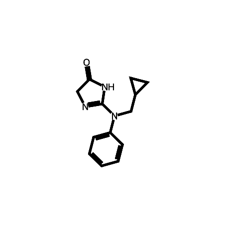 O=C1CN=C(N(CC2CC2)c2ccccc2)N1